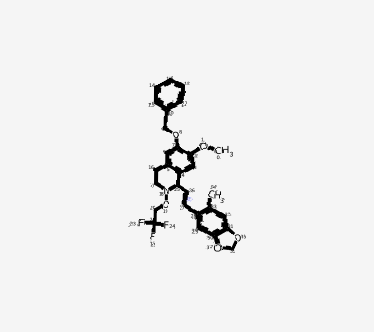 COc1cc2c(cc1OCc1ccccc1)CCN(OCC(F)(F)F)C2/C=C/c1cc2c(cc1C)OCO2